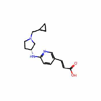 O=C(O)/C=C/c1ccc(N[C@@H]2CCN(CC3CC3)C2)nc1